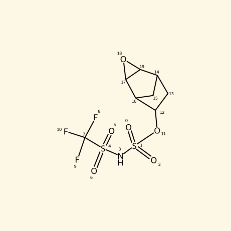 O=S(=O)(NS(=O)(=O)C(F)(F)F)OC1CC2CC1C1OC21